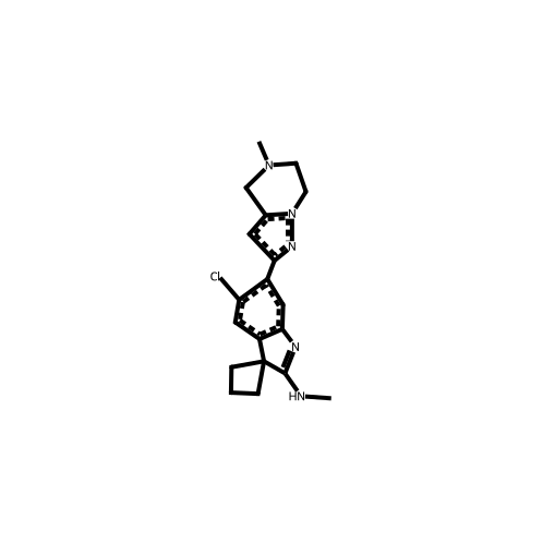 CNC1=Nc2cc(-c3cc4n(n3)CCN(C)C4)c(Cl)cc2C12CCC2